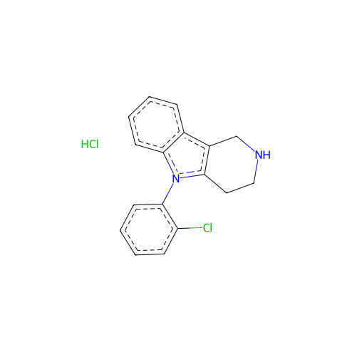 Cl.Clc1ccccc1-n1c2c(c3ccccc31)CNCC2